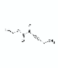 CCC#CC(=O)C(=O)OCC